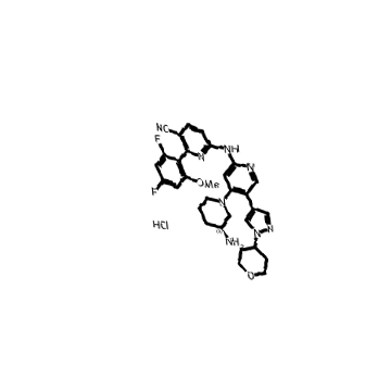 COc1cc(F)cc(F)c1-c1nc(Nc2cc(N3CCC[C@H](N)C3)c(-c3cnn(C4CCOCC4)c3)cn2)ccc1C#N.Cl